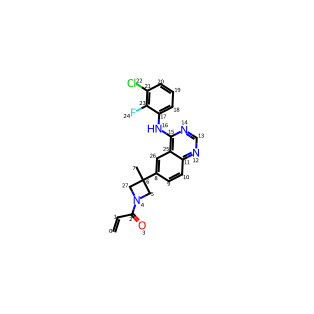 C=CC(=O)N1CC(C)(c2ccc3ncnc(Nc4cccc(Cl)c4F)c3c2)C1